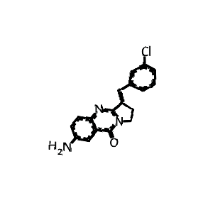 Nc1ccc2nc3n(c(=O)c2c1)CC/C3=C\c1cccc(Cl)c1